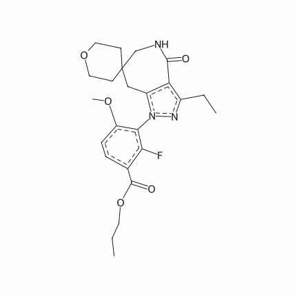 CCCOC(=O)c1ccc(OC)c(-n2nc(CC)c3c2CC2(CCOCC2)CNC3=O)c1F